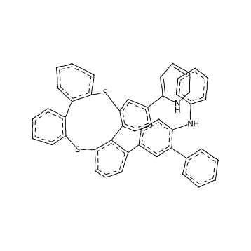 C1=CCNC(c2ccc3c(c2)Sc2ccccc2-c2ccccc2Sc2cccc(-c4ccc(Nc5ccccc5)c(-c5ccccc5)c4)c2-3)=C1